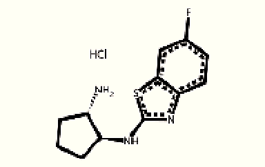 Cl.N[C@H]1CCC[C@@H]1Nc1nc2ccc(F)cc2s1